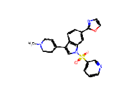 CN1CC=C(c2cn(S(=O)(=O)c3cccnc3)c3cc(-c4ncco4)ccc23)CC1